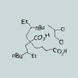 CC(Cl)CCl.CCCCC(CC)CC(CCCC(=O)O)(CC(CC)CCCC)C(=O)O